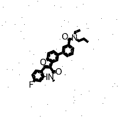 CCCN(CC)C(=O)c1cccc(-c2ccc3oc(-c4ccc(F)cc4)c(C(=O)NC)c3c2)c1